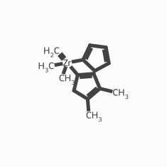 [CH2]=[Zr]([CH3])([CH3])([C]1=CC=CC1)[C]1=CC(C)=C(C)C1